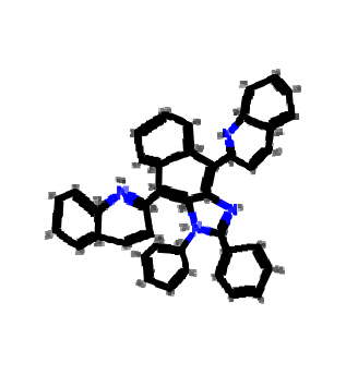 c1ccc(-c2nc3c(-c4ccc5ccccc5n4)c4ccccc4c(-c4ccc5ccccc5n4)c3n2-c2ccccc2)cc1